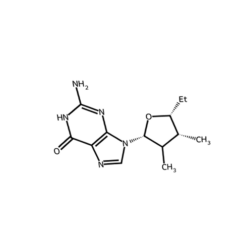 CC[C@H]1O[C@@H](n2cnc3c(=O)[nH]c(N)nc32)C(C)[C@H]1C